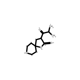 CC(C)C(=O)C1CC2(CCOCC2)OC1=O